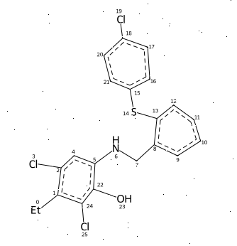 CCc1c(Cl)cc(NCc2ccccc2Sc2ccc(Cl)cc2)c(O)c1Cl